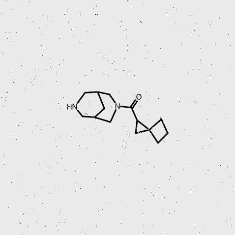 O=C(C1CC12CCC2)N1CC2CNCC(C2)C1